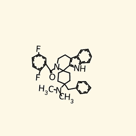 CN(C)C1(Cc2ccccc2)CCC2(CC1)c1[nH]c3ccccc3c1CCN2C(=O)c1cc(F)ccc1F